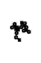 N#Cc1cccc(-c2ccc(-c3nc(-c4ccc(-n5c6ccccc6c6ccc7c(c8ccccc8n7-c7ccccc7)c65)c(C#N)c4)nc(-n4c5ccccc5c5ccccc54)n3)cc2)c1